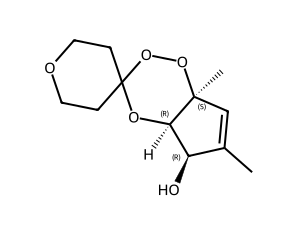 CC1=C[C@]2(C)OOC3(CCOCC3)O[C@@H]2[C@@H]1O